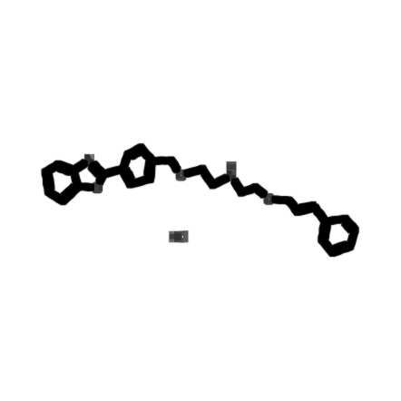 C(=C\c1ccccc1)/COCCNCCOCc1ccc(-c2nc3ccccc3o2)cc1.Cl